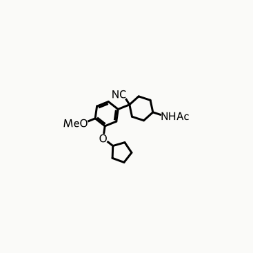 COc1ccc(C2(C#N)CCC(NC(C)=O)CC2)cc1OC1CCCC1